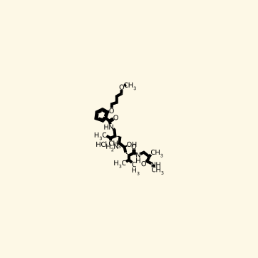 CNC(=O)C(C)CNC(=O)[C@@H](C[C@H](O)[C@@H](N)C[C@@H](CNC(=O)c1ccccc1OCCCCOC)C(C)C)C(C)C.Cl